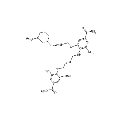 COC(=O)c1cc(N)c(NCC=CCNc2c(N)cc(C(N)=O)cc2OCC#CCC2CCCN(C(=O)O)C2)c(OC)c1